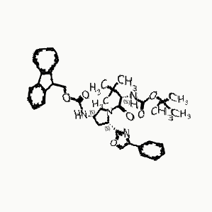 CC(C)(C)OC(=O)N[C@H](C(=O)N1C[C@@H](NC(=O)OCC2c3ccccc3-c3ccccc32)C[C@H]1c1nc(-c2ccccc2)co1)C(C)(C)C